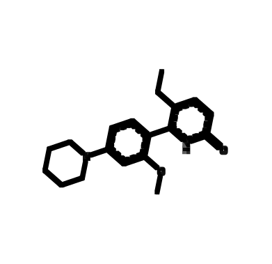 CCc1ccc(=O)[nH]c1-c1ccc(N2CCCCC2)cc1OC